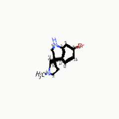 CN1CCC2(CNc3cc(Br)ccc32)C1